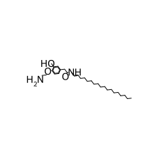 CCCCCCCCCCCCCCCCC=CNC(=O)Cc1ccc(OCCN)c(O)c1